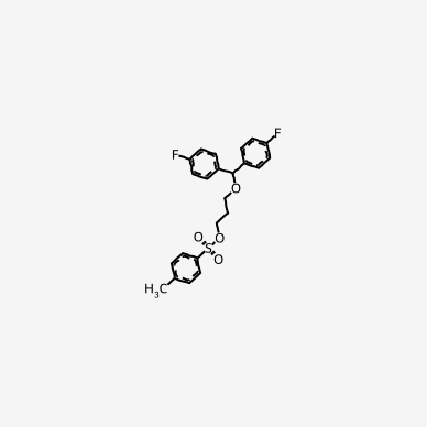 Cc1ccc(S(=O)(=O)OCCCOC(c2ccc(F)cc2)c2ccc(F)cc2)cc1